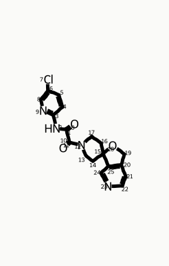 O=C(Nc1ccc(Cl)cn1)C(=O)N1CCC2(CC1)OCc1ccncc12